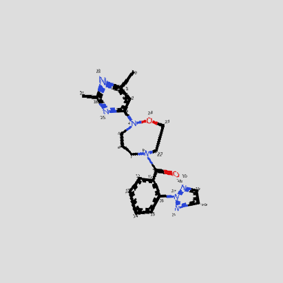 Cc1cc(N2CCCN(C(=O)c3ccccc3-n3nccn3)CCO2)nc(C)n1